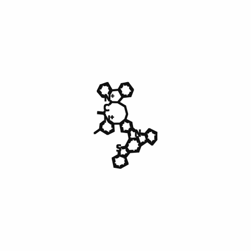 C=C1CC2C(CCc3cc4c(cc3-c3ccc(C)c[n+]31)c1c3sc5ccccc5c3cc3c5ccccc5n4c31)c1ccccc1-c1cccc[n+]12